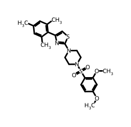 COc1ccc(S(=O)(=O)N2CCN(c3nc(-c4c(C)cc(C)cc4C)cs3)CC2)c(OC)c1